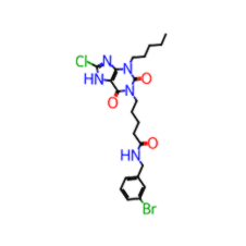 CCCCCn1c(=O)n(CCCCC(=O)NCc2cccc(Br)c2)c(=O)c2[nH]c(Cl)nc21